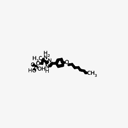 CCCCCCCCOc1ccc(-c2c[nH]c(C(C)(N)COP(=O)(O)O)n2)cc1